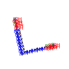 CC(C)n1ccnc1.CC(C)n1ccnc1.CC(C)n1ccnc1.CC(C)n1ccnc1.CC(C)n1ccnc1.CC(C)n1ccnc1.CC(C)n1ccnc1.CC(C)n1ccnc1.CC(C)n1ccnc1.CC(C)n1ccnc1.CC(C)n1ccnc1.CC(C)n1ccnc1.O=P(O)(O)F.O=P(O)(O)F.O=P(O)(O)F.O=P(O)(O)F.O=P(O)(O)F.O=P(O)(O)F